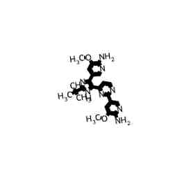 COc1cc(-c2nccc(-c3[nH]c(C(C)(C)C)nc3-c3cnc(N)c(OC)c3)n2)cnc1N